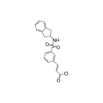 O=C(Cl)C=Cc1cccc(S(=O)(=O)NC2Cc3ccccc3C2)c1